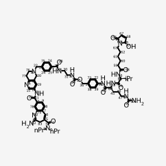 CCCN(CCC)C(=O)C1=Cc2ccc(C(=O)Nc3cnc4c(c3)CN(Cc3ccc(C(=O)NCCNC(=O)OCc5ccc(NC(=O)[C@H](CCCNC(N)=O)NC(=O)[C@@H](NC(=O)CCCCCN6C(=O)C=CC6O)C(C)C)cc5)cc3)CC4)cc2N=C(N)C1